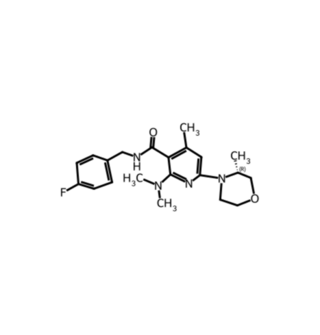 Cc1cc(N2CCOC[C@H]2C)nc(N(C)C)c1C(=O)NCc1ccc(F)cc1